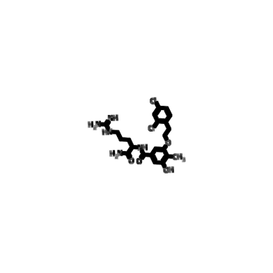 Cc1c(O)cc(C(=O)NC(CCCNC(=N)N)C(N)=O)cc1OCCc1ccc(Cl)cc1Cl